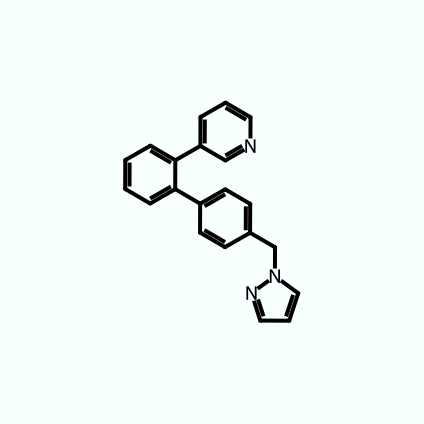 c1cncc(-c2ccccc2-c2ccc(Cn3cccn3)cc2)c1